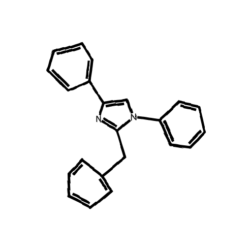 c1ccc(Cc2nc(-c3ccccc3)cn2-c2ccccc2)cc1